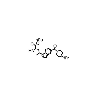 CC(C)N1CCN(C(=O)c2ccc3c(ccn3C(C)CC(=N)C(=O)OC(C)(C)C)c2)CC1